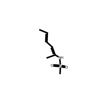 C/C=C/C=C(\C)NS(C)(=O)=O